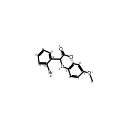 COc1ccc(OC(C(=O)Cl)c2ccccc2Br)cc1